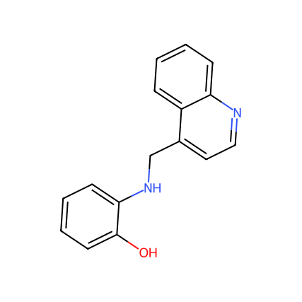 Oc1ccccc1NCc1ccnc2ccccc12